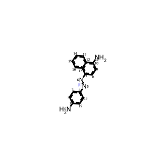 Nc1ccc(/N=N/c2ccc(N)c3ccccc23)cc1